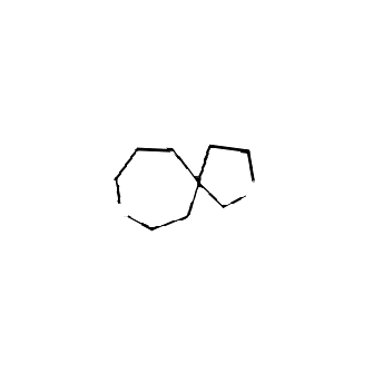 C1CSCCC2(C1)CCOC2